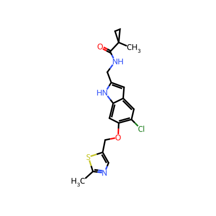 Cc1ncc(COc2cc3[nH]c(CNC(=O)C4(C)CC4)cc3cc2Cl)s1